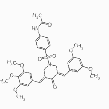 COc1cc(C=C2CN(S(=O)(=O)c3ccc(NC(C)=O)cc3)CC(=Cc3cc(OC)c(OC)c(OC)c3)C2=O)cc(OC)c1